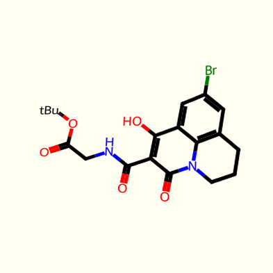 CC(C)(C)OC(=O)CNC(=O)c1c(O)c2cc(Br)cc3c2n(c1=O)CCC3